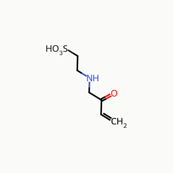 C=CC(=O)CNCCS(=O)(=O)O